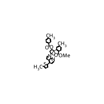 COC(=O)c1ccc(C)cc1[C@H]1O[C@@H](n2ccc3c(-c4ccc(C)s4)ccnc32)C[C@@H]1OC(=O)c1ccc(C)cc1